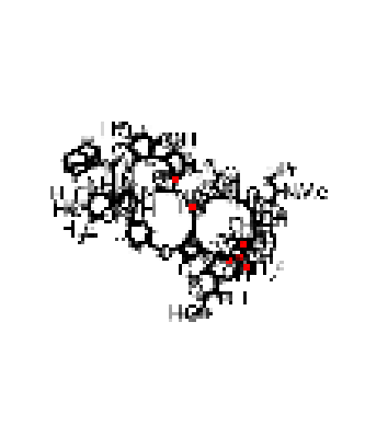 CN[C@H](CC(C)C)C(=O)N[C@H]1C(=O)N[C@@H](CC(N)=O)C(=O)N[C@H]2C(=O)N[C@H]3C(=O)N[C@H](C(=O)N[C@H](C(=O)NC4C5CC6CC(C5)CC4C6)c4cc(O)cc(O)c4-c4cc3ccc4O)[C@H](OC3CC(C)(N)C(O)C(C)O3)c3ccc(cc3)Oc3cc2cc(c3OC2OC(CO)C(O)C(O)C2OC2CC(C)(N)C(O)C(C)O2)Oc2ccc(cc2Cl)[C@H]1O